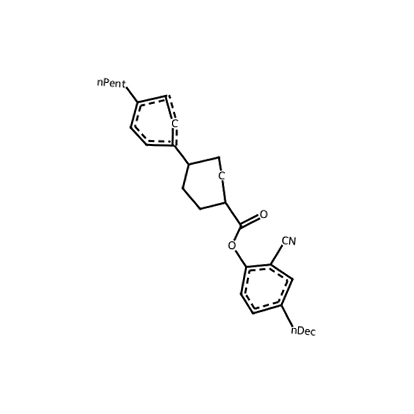 CCCCCCCCCCc1ccc(OC(=O)C2CCC(c3ccc(CCCCC)cc3)CC2)c(C#N)c1